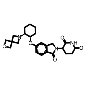 O=C1CCC(N2Cc3cc(O[C@@H]4CCCC[C@@H]4N4CC5(COC5)C4)ccc3C2=O)C(=O)N1